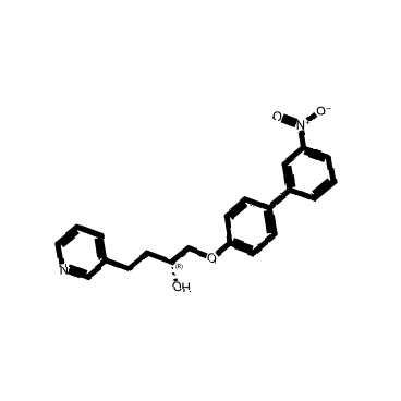 O=[N+]([O-])c1cccc(-c2ccc(OC[C@H](O)CCc3cccnc3)cc2)c1